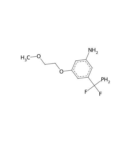 COCCOc1cc(N)cc(C(F)(F)P)c1